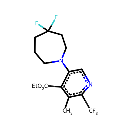 CCOC(=O)c1c(N2CCCC(F)(F)CC2)cnc(C(F)(F)F)c1C